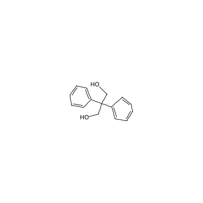 OCC(CO)(c1ccccc1)c1ccccc1